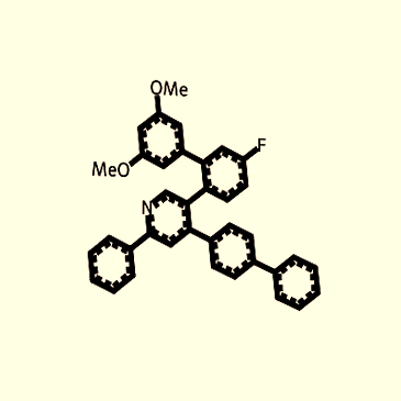 COc1cc(OC)cc(-c2cc(F)ccc2-c2cnc(-c3ccccc3)cc2-c2ccc(-c3ccccc3)cc2)c1